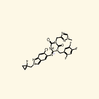 Cn1cnc(Cn2c(=O)[nH]/c(=N\c3cc4cn(CC5(F)CC5)nc4cc3Cl)n(Cc3cc(F)c(F)cc3F)c2=O)n1